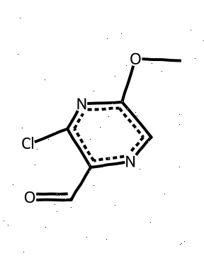 COc1cnc(C=O)c(Cl)n1